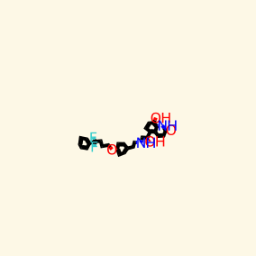 O=c1ccc2c([C@@H](O)CNCCc3ccc(OCCCC(F)(F)c4ccccc4)cc3)ccc(O)c2[nH]1